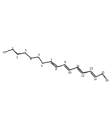 [CH2]CCCCCCC=CC=CC=CC=CCC